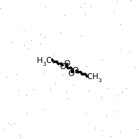 CCCCCCOC(=O)CCC(=O)OCCCCCC